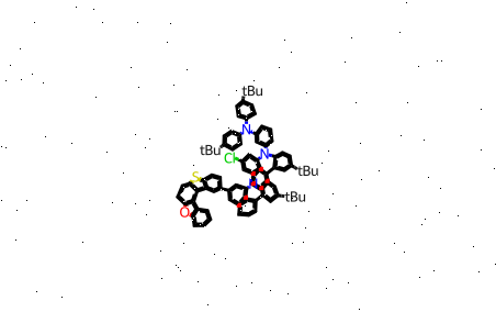 CC(C)(C)c1ccc(N(c2ccc(C(C)(C)C)cc2)c2cccc(N(c3cc(Cl)cc(N(c4cccc(-c5ccc6sc7ccc8oc9ccccc9c8c7c6c5)c4)c4ccc(C(C)(C)C)cc4-c4ccccc4)c3)c3ccc(C(C)(C)C)cc3-c3ccccc3)c2)cc1